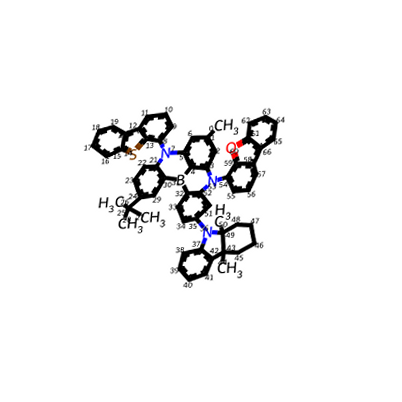 Cc1cc2c3c(c1)N(c1cccc4c1sc1ccccc14)c1ccc(C(C)(C)C)cc1B3c1ccc(N3c4ccccc4C4(C)CCCCC34C)cc1N2c1cccc2c1oc1ccccc12